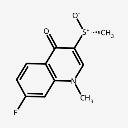 Cn1cc([S@@+](C)[O-])c(=O)c2ccc(F)cc21